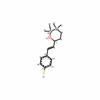 C[Si]1(C)CCC(C=Cc2ccc(F)cc2)O[Si]1(C)C